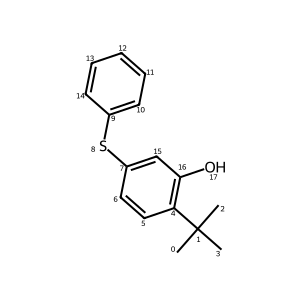 CC(C)(C)c1ccc(Sc2ccccc2)cc1O